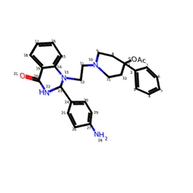 CC(=O)OC1(c2ccccc2)CCN(CCN2c3ccccc3C(=O)NC2c2ccc(N)cc2)CC1